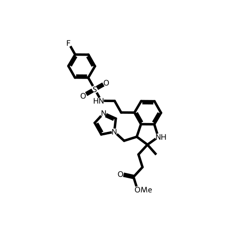 COC(=O)CCC1(C)Nc2cccc(CCNS(=O)(=O)c3ccc(F)cc3)c2C1Cn1ccnc1